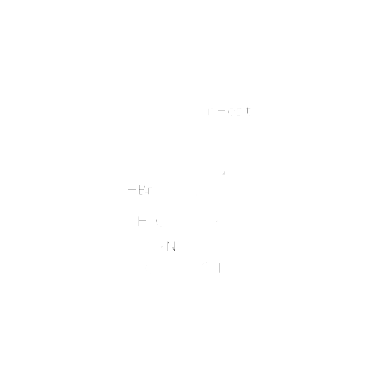 Br.CCCCCCCCCCCCC(C)N(C)C